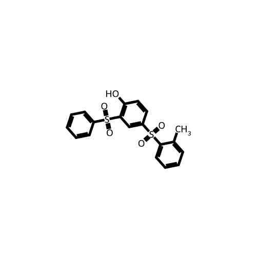 Cc1ccccc1S(=O)(=O)c1ccc(O)c(S(=O)(=O)c2ccccc2)c1